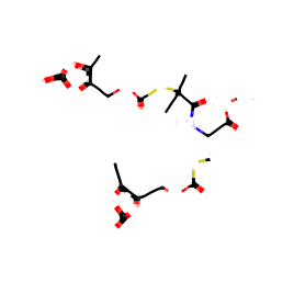 Cc1oc(=O)oc1COC(=O)SC[C@H](NC(=O)C(C)(C)SC(=O)OCc1oc(=O)oc1C)C(=O)OC(C)(C)C